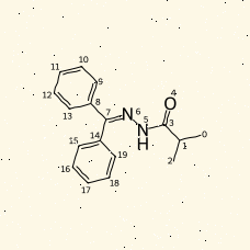 CC(C)C(=O)NN=C(c1ccccc1)c1ccccc1